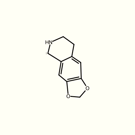 [C]1NCCc2cc3c(cc21)OCO3